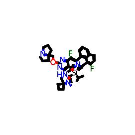 CC(C)[Si](C#Cc1c(F)ccc2cccc(-c3ncc4c(NCC5(N(C)C)CCC5)nc(OCC56CCCN5CCC6)nc4c3F)c12)(C(C)C)C(C)C